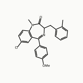 COc1ccc(C2=NC(Cc3ccccc3C)C(=O)N(C)c3ccc(Cl)cc32)cc1